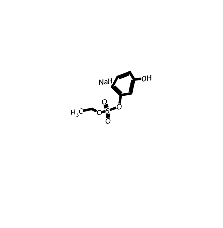 CCOS(=O)(=O)Oc1cccc(O)c1.[NaH]